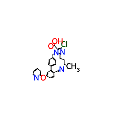 CCCCc1nc(Cl)c(C(=O)O)n1Cc1ccc(-c2cc(Oc3ccccn3)ccc2C#N)cc1